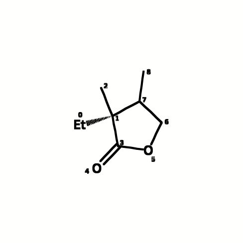 CC[C@@]1(C)C(=O)OCC1C